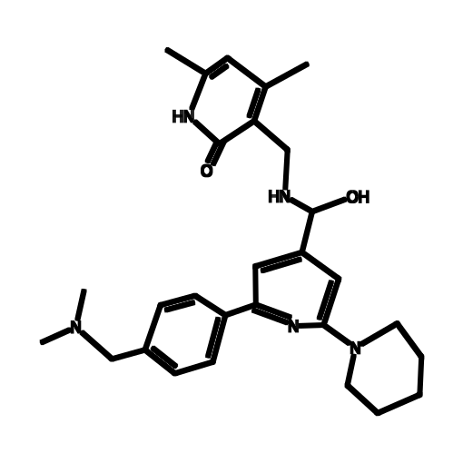 Cc1cc(C)c(CNC(O)c2cc(-c3ccc(CN(C)C)cc3)nc(N3CCCCC3)c2)c(=O)[nH]1